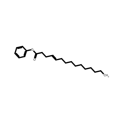 CCCCCCCCCCC=CCCC(=O)Oc1ccccc1